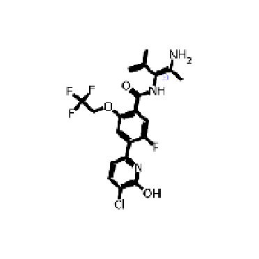 C=C(C)/C(NC(=O)c1cc(F)c(-c2ccc(Cl)c(O)n2)cc1OCC(F)(F)F)=C(/C)N